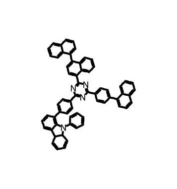 C1=CC2c3cccc(-c4ccc(-c5nc(-c6ccc(-c7cccc8ccccc78)cc6)nc(-c6ccc(-c7cccc8ccccc78)c7ccccc67)n5)cc4)c3N(c3ccccc3)C2C=C1